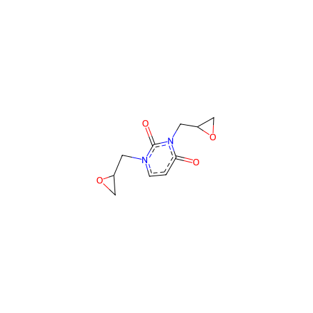 O=c1ccn(CC2CO2)c(=O)n1CC1CO1